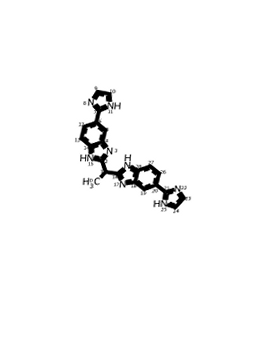 CC(c1nc2cc(-c3ncc[nH]3)ccc2[nH]1)c1nc2cc(-c3ncc[nH]3)ccc2[nH]1